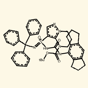 CC(C)(C)OC(=O)N1CCCn2ncc(S(=O)(=NC(c3ccccc3)(c3ccccc3)c3ccccc3)NC(=O)Nc3c4c(cc5c3CCC5)CCC4)c21